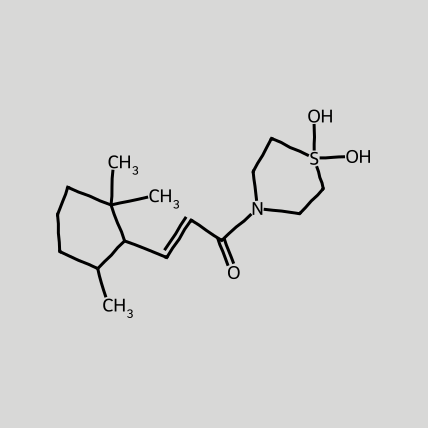 CC1CCCC(C)(C)C1/C=C/C(=O)N1CCS(O)(O)CC1